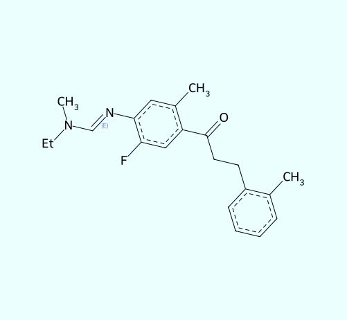 CCN(C)/C=N/c1cc(C)c(C(=O)CCc2ccccc2C)cc1F